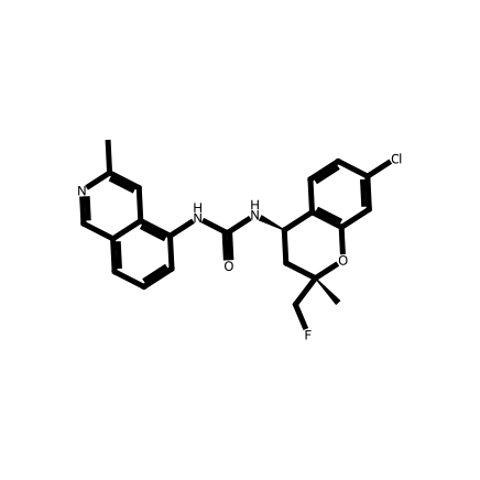 Cc1cc2c(NC(=O)N[C@@H]3C[C@@](C)(CF)Oc4cc(Cl)ccc43)cccc2cn1